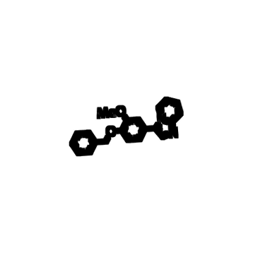 COc1cc(-c2cnc3ccccn23)ccc1OCc1ccccc1